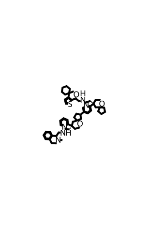 CN1CCc2ccccc2C1CNCC[C@@]1(c2ccccn2)CCOC2(CCC(c3ccc([C@]4(CCNCC5OCC6(CCCCC6)c6ccsc65)CCOC5(CCCC5)C4)nc3)C2)C1